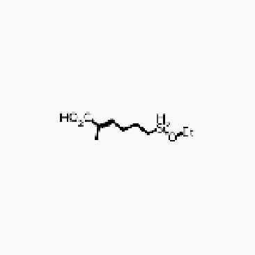 CCO[SiH2]CCCC=C(C)C(=O)O